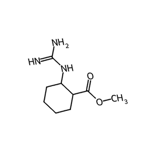 COC(=O)C1CCCCC1NC(=N)N